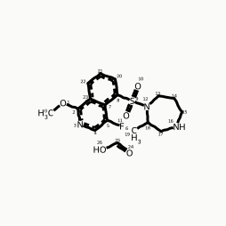 COc1ncc(F)c2c(S(=O)(=O)N3CCCNCC3C)cccc12.O=CO